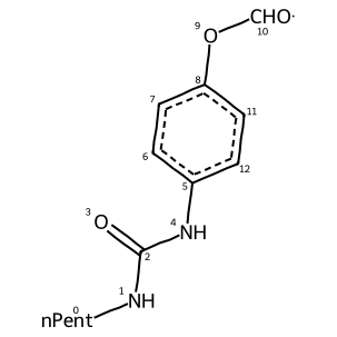 [CH2]CCCCNC(=O)Nc1ccc(O[C]=O)cc1